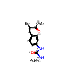 CCC(Cc1ccc(NC(=O)NNC(C)=O)cc1)C(=O)OC